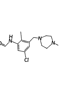 Cc1c(CN2CCN(C)CC2)cc(Cl)cc1NC=O